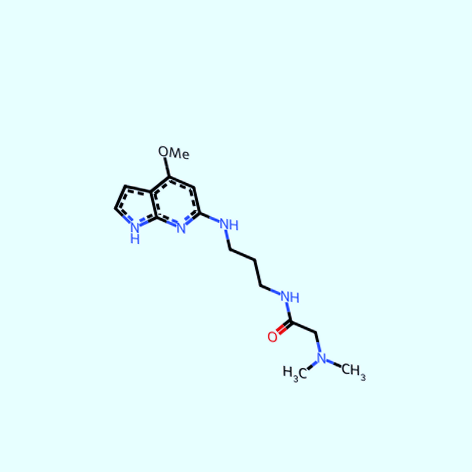 COc1cc(NCCCNC(=O)CN(C)C)nc2[nH]ccc12